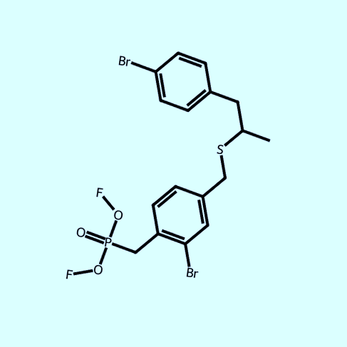 CC(Cc1ccc(Br)cc1)SCc1ccc(CP(=O)(OF)OF)c(Br)c1